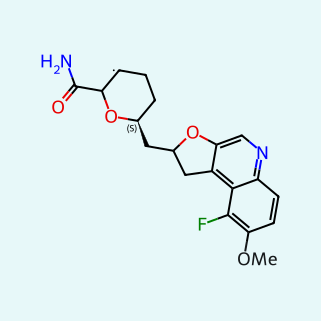 COc1ccc2ncc3c(c2c1F)CC(C[C@@H]1CC[CH]C(C(N)=O)O1)O3